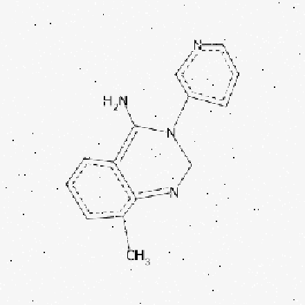 Cc1cccc2c1=NCN(c1cccnc1)C=2N